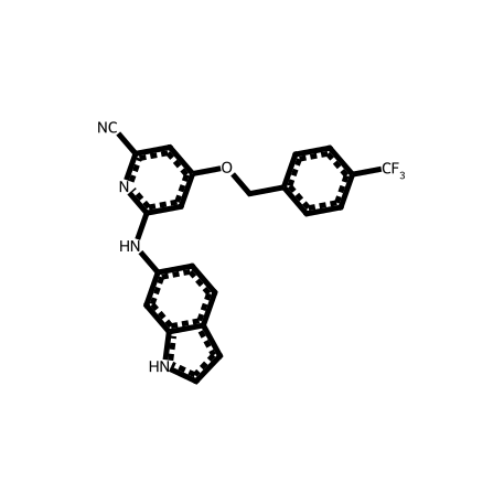 N#Cc1cc(OCc2ccc(C(F)(F)F)cc2)cc(Nc2ccc3cc[nH]c3c2)n1